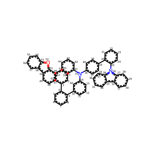 c1ccc(-c2ccccc2-c2cccc(N(c3ccc(-c4ccccc4-n4c5ccccc5c5ccccc54)cc3)c3cccc(-c4cccc5c4oc4ccccc45)c3)c2)cc1